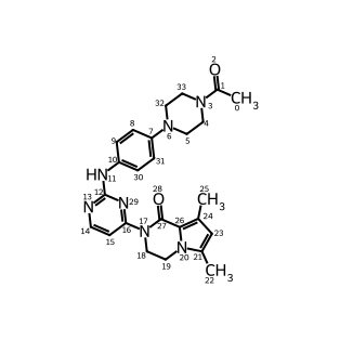 CC(=O)N1CCN(c2ccc(Nc3nccc(N4CCn5c(C)cc(C)c5C4=O)n3)cc2)CC1